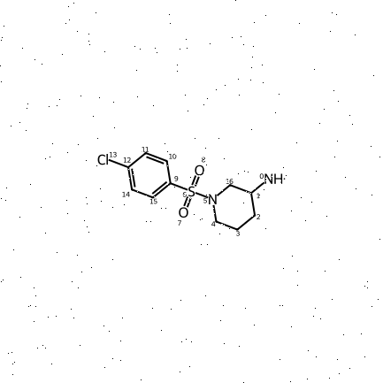 [NH]C1CCCN(S(=O)(=O)c2ccc(Cl)cc2)C1